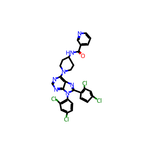 O=C(NC1CCN(c2ncnc3c2nc(-c2ccc(Cl)cc2Cl)n3-c2ccc(Cl)cc2Cl)CC1)c1cccnc1